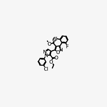 CCOC(=O)c1c(-c2onc(-c3c(F)cccc3Cl)c2C(=O)OC)cnn1-c1cccc(Cl)c1